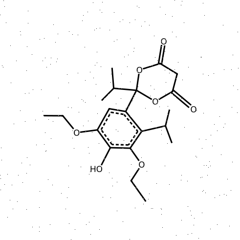 CCOc1cc(C2(C(C)C)OC(=O)CC(=O)O2)c(C(C)C)c(OCC)c1O